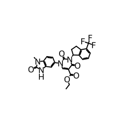 CCOC(=O)c1cn(-c2ccc3c(c2)[nH]c(=O)n3C)c(=O)n(C2CCc3c2cccc3C(F)(F)F)c1=O